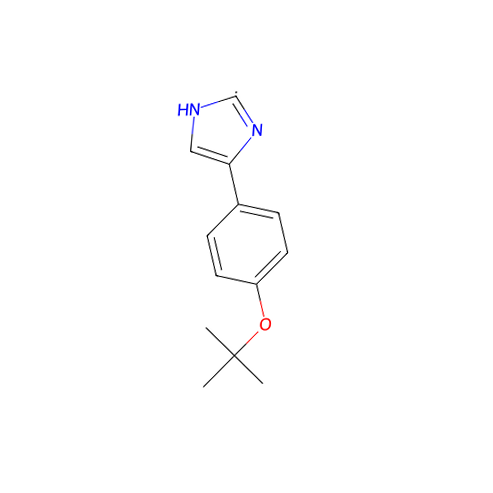 CC(C)(C)Oc1ccc(-c2c[nH][c]n2)cc1